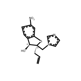 C=CC[C@@]1(Cn2ccnc2)Sc2cc([N+](=O)[O-])ccc2[C@@H]1O